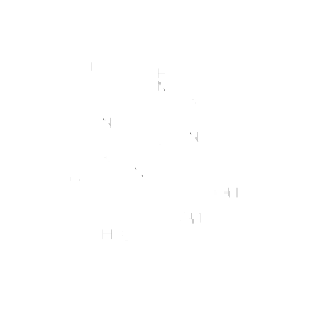 CC(O)N1C(=O)N(CO)C2NC(=O)N(CO)C21